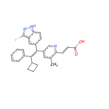 Cc1cc(C(=C(c2ccccc2)C2CCC2)c2ccc3[nH]nc(F)c3c2)cnc1C=CC(=O)O